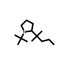 CCCC(C)(C)C1CCCN1C(C)(C)C